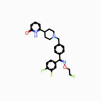 O=c1cccc(C2CCN(Cc3ccc(/C(=N/OCCF)c4ccc(F)c(F)c4)cc3)CC2)[nH]1